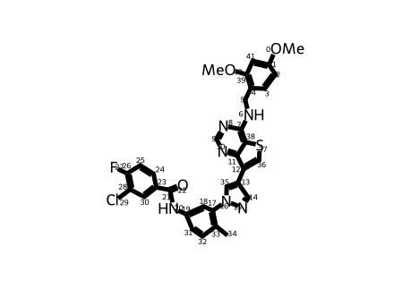 COc1ccc(CNc2ncnc3c(-c4cnn(-c5cc(NC(=O)c6ccc(F)c(Cl)c6)ccc5C)c4)csc23)c(OC)c1